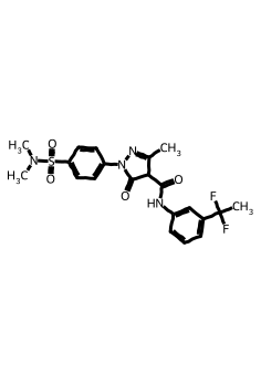 CC1=NN(c2ccc(S(=O)(=O)N(C)C)cc2)C(=O)C1C(=O)Nc1cccc(C(C)(F)F)c1